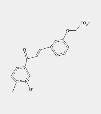 Cc1ccc(C(=O)C=Cc2cccc(OCC(=O)O)c2)c[n+]1[O-]